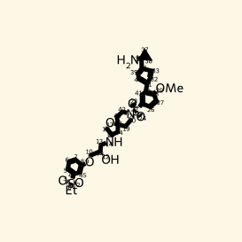 CCS(=O)(=O)c1cccc(OC[C@@H](O)CN[C@H]2COC3(CCN(S(=O)(=O)c4ccc(OC)c(-c5ccc(C6(N)CC6)cc5)c4)CC3)C2)c1